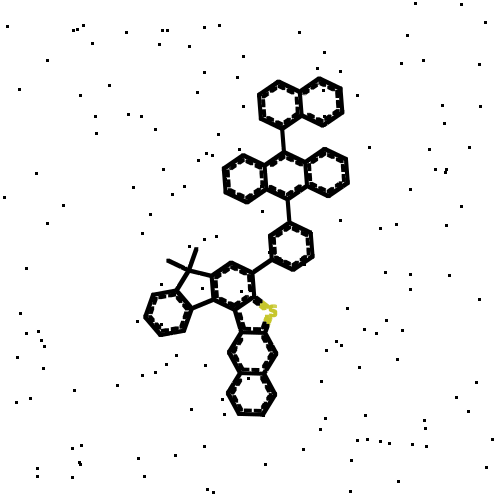 CC1(C)c2ccccc2-c2c1cc(-c1cccc(-c3c4ccccc4c(-c4cccc5ccccc45)c4ccccc34)c1)c1sc3cc4ccccc4cc3c21